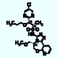 CCCO[C@@H](c1ncc(Cl)cn1)[C@H](C)S(=O)(=O)Nc1nnc2n1[C@@H](COC)COc1ncccc1-2